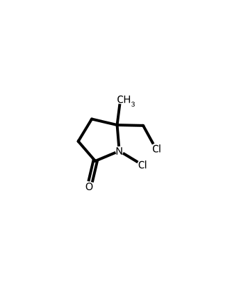 CC1(CCl)CCC(=O)N1Cl